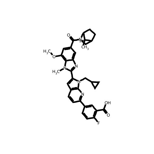 COc1cc(C(=O)N2CC3CCC2[C@@H]3C)cc2nc(-c3cc4ccc(-c5ccc(F)c(C(=O)O)c5)nc4n3CC3CC3)n(C)c12